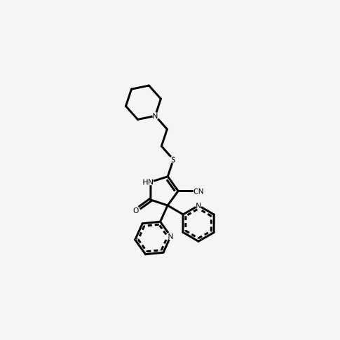 N#CC1=C(SCCN2CCCCC2)NC(=O)C1(c1ccccn1)c1ccccn1